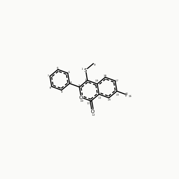 CSc1c(-c2ccccc2)oc(=O)c2cc(F)ccc12